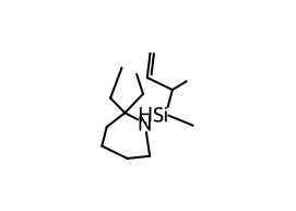 C=CC(C)[SiH](C)N1CCCCC1(CC)CC